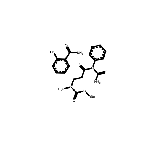 CN(CCC(=O)N(C(N)=O)c1ccccc1)C(=O)OC(C)(C)C.NC(=O)c1ccccc1N